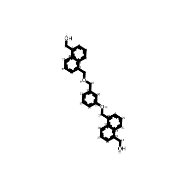 OCc1cccc2c(COCc3cccc(OCc4cccc5c(CO)cccc45)c3)cccc12